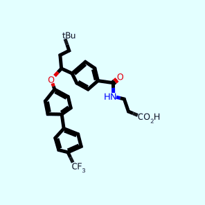 CC(C)(C)CCC(Oc1ccc(-c2ccc(C(F)(F)F)cc2)cc1)c1ccc(C(=O)NCCC(=O)O)cc1